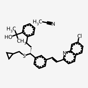 CC#N.CC(C)(O)c1ccccc1CC[C@@H](SCC1CC1)c1cccc(C=Cc2ccc3ccc(Cl)cc3n2)c1